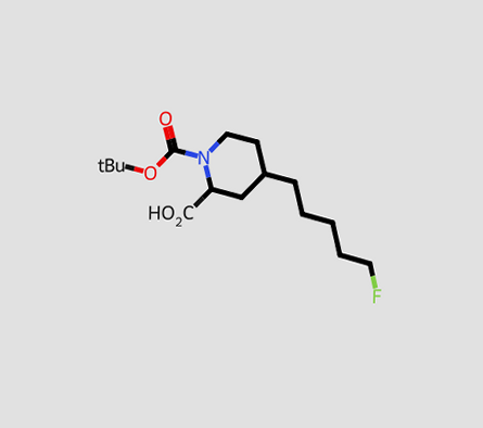 CC(C)(C)OC(=O)N1CCC(CCCCCF)CC1C(=O)O